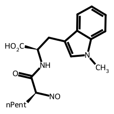 CCCCC[C@H](N=O)C(=O)N[C@H](Cc1cn(C)c2ccccc12)C(=O)O